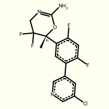 C[C@]1(c2cc(-c3cncc(Cl)c3)c(F)cc2F)OC(N)=NCC1(F)F